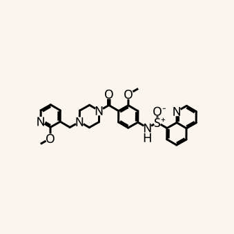 COc1cc(N[S+]([O-])c2cccc3cccnc23)ccc1C(=O)N1CCN(Cc2cccnc2OC)CC1